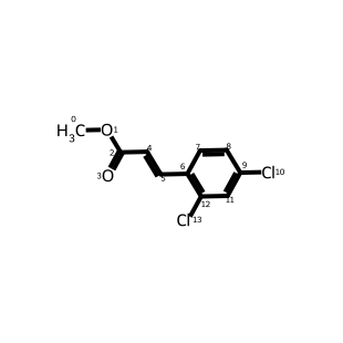 COC(=O)C=Cc1ccc(Cl)cc1Cl